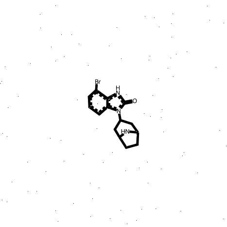 O=c1[nH]c2c(Br)cccc2n1C1CC2CCC(C1)N2